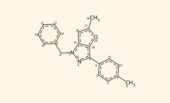 Cc1ccc(-c2nn(Cc3ccccc3)c3cc(C)oc23)cc1